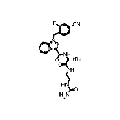 CC(C)(C)C(NC(=O)c1nn(Cc2ccc(C#N)cc2F)c2ccccc12)C(=O)NCCNC(N)=O